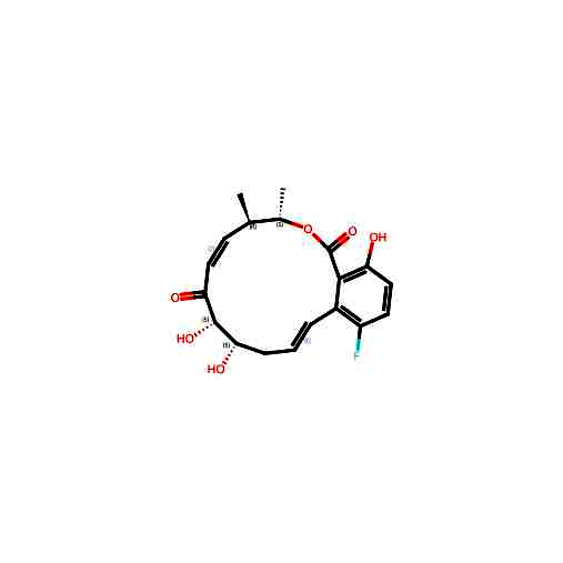 C[C@@H]1/C=C\C(=O)[C@@H](O)[C@@H](O)C/C=C/c2c(F)ccc(O)c2C(=O)O[C@H]1C